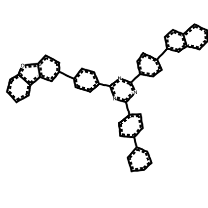 c1ccc(-c2ccc(-c3nc(-c4ccc(-c5ccc6ccccc6c5)cc4)nc(-c4ccc(-c5ccc6oc7ccccc7c6c5)cc4)n3)cc2)cc1